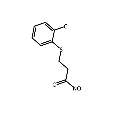 O=NC(=O)CCSc1ccccc1Cl